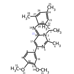 CCn1c(C)nc(-c2ccc(OC)c(OC)c2)c/c1=N/c1c(C)cc(C)cc1C